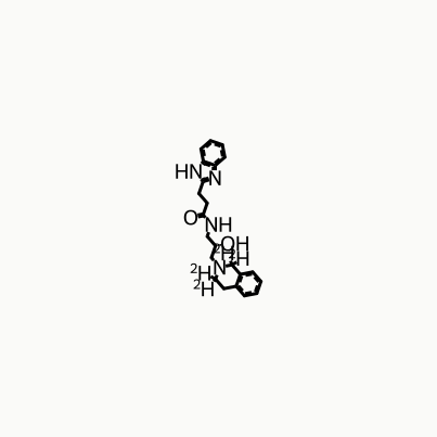 [2H]C1([2H])Cc2ccccc2C([2H])([2H])N1C[C@@H](O)CNC(=O)CCc1nc2ccccc2[nH]1